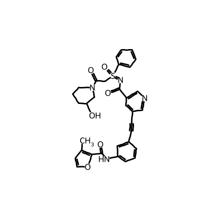 Cc1ccoc1C(=O)Nc1cccc(C#Cc2cncc(C(=O)N=S(=O)(CC(=O)N3CCCC(O)C3)c3ccccc3)c2)c1